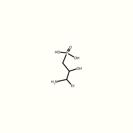 CCC(N)C(O)CP(=O)(O)O